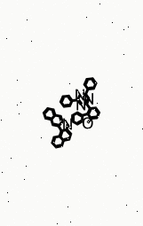 c1ccc(-c2nc(-c3ccccc3)nc(-c3cccc4oc5cc(-n6c7cc8ccccc8cc7c7c8ccccc8ccc76)ccc5c34)n2)cc1